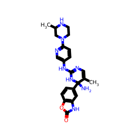 CC1=CN=C(Nc2ccc(N3CCNC(C)C3)nc2)NC1(N)c1ccc2oc(=O)[nH]c2c1